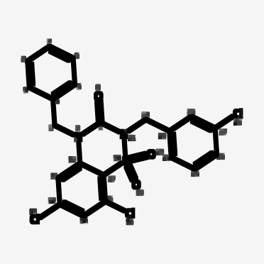 O=C1N(Cc2ccccc2)c2cc(Cl)cc(Cl)c2S(=O)(=O)N1Cc1cccc(Cl)c1